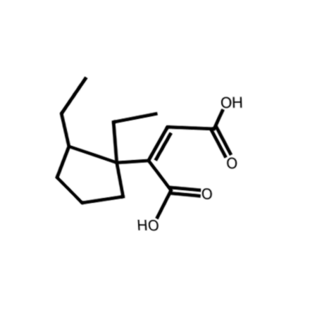 CCC1CCCC1(CC)C(=CC(=O)O)C(=O)O